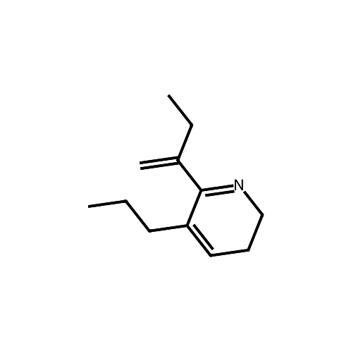 C=C(CC)C1=NCCC=C1CCC